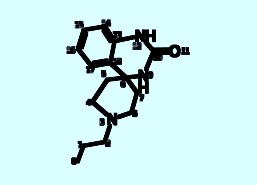 CCCN1CCC2(CC1)NC(=O)Nc1ccccc12